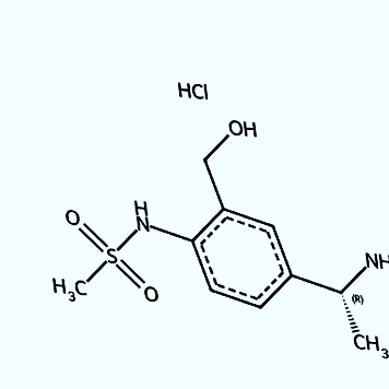 C[C@@H](N)c1ccc(NS(C)(=O)=O)c(CO)c1.Cl